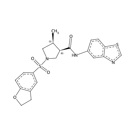 C[C@@H]1CN(S(=O)(=O)c2ccc3c(c2)CCO3)C[C@@H]1C(=O)Nc1ccc2scnc2c1